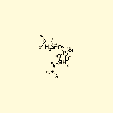 CC(C)=C[SiH2]OP(=O)(Br)O[SiH2]C=C(C)C